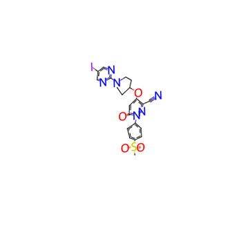 CS(=O)(=O)c1ccc(-n2nc(C#N)c(OC3CCN(c4ncc(I)cn4)CC3)cc2=O)cc1